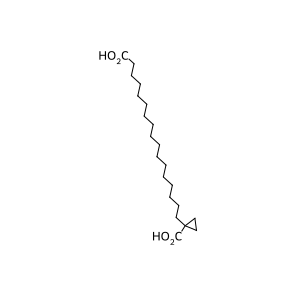 O=C(O)CCCCCCCCCCCCCCCCC1(C(=O)O)CC1